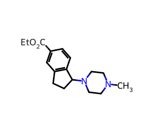 CCOC(=O)c1ccc2c(c1)CCC2N1CCN(C)CC1